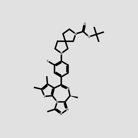 Cc1sc2c(c1C)C(c1ccc(N3CCC4(CCN(C(=O)OC(C)(C)C)C4)C3)c(F)c1)=N[C@@H](C)c1nnc(C)n1-2